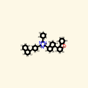 c1ccc(-c2nc(-c3ccc(-c4cccc5ccccc45)cc3)nc(-c3cccc4c(-c5cccc6oc7ccccc7c56)cccc34)n2)cc1